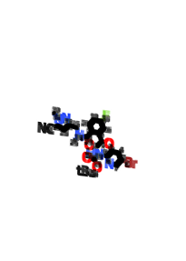 CC(Oc1cc(Br)cnc1NC(=O)OC(C)(C)C)c1cc(F)ccc1C(=O)N(C)Cc1cc(C#N)n(C)n1